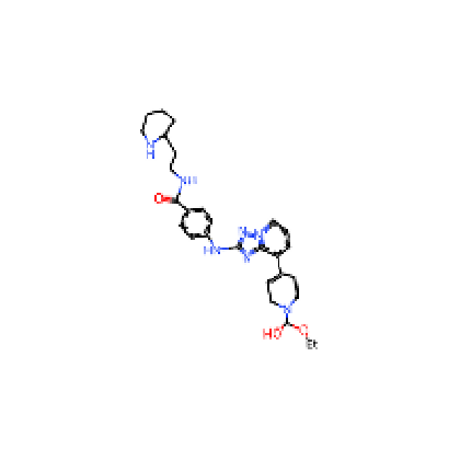 CCOC(O)N1CC=C(c2cccn3nc(Nc4ccc(C(=O)NCCC5CCCCN5)cc4)nc23)CC1